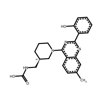 Cc1ccc2c(N3CCC[C@H](CNC(=O)O)C3)nc(-c3ccccc3O)nc2c1